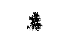 CSc1cc(-c2ccc(-n3cc(C)nc3C)c(N(N)/C(=C\N)c3ccc(OC(F)(F)F)cc3)c2)cc(F)c1CO